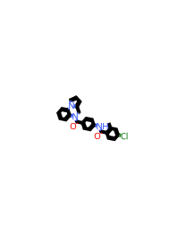 Cc1cc(Cl)ccc1C(=O)Nc1ccc(C(=O)N2Cc3cccn3-c3ccccc32)cc1